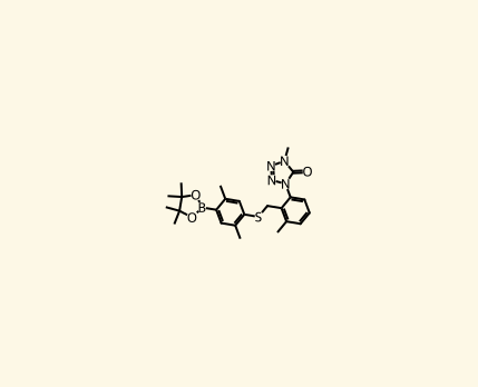 Cc1cc(B2OC(C)(C)C(C)(C)O2)c(C)cc1SCc1c(C)cccc1-n1nnn(C)c1=O